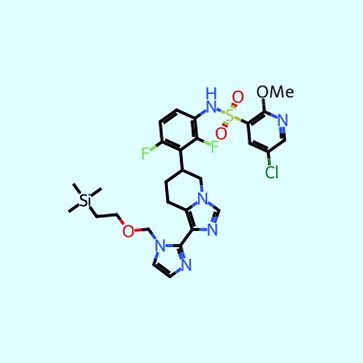 COc1ncc(Cl)cc1S(=O)(=O)Nc1ccc(F)c(C2CCc3c(-c4nccn4COCC[Si](C)(C)C)ncn3C2)c1F